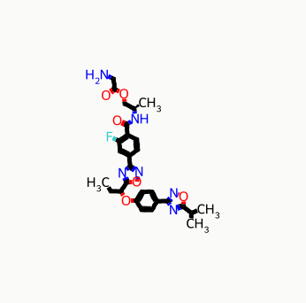 CCC(Oc1ccc(-c2noc(C(C)C)n2)cc1)c1nc(-c2ccc(C(=O)N[C@H](C)COC(=O)CN)c(F)c2)no1